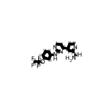 NNc1cc(-c2ccnc(Nc3cccc(OC(F)(F)C(F)F)c3)n2)ccn1